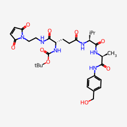 CC(C)[C@H](NC(=O)CC[C@H](NC(=O)OC(C)(C)C)C(=O)NCCN1C(=O)C=CC1=O)C(=O)N[C@@H](C)C(=O)Nc1ccc(CO)cc1